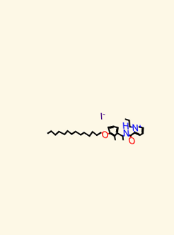 CCCCCCCCCCCCCCOc1cccc(C(C)NC(=O)c2cccc[n+]2CCC)c1C.[I-]